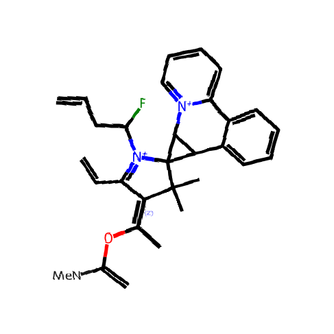 C=CCC(F)[N+]1=C(C=C)/C(=C(/C)OC(=C)NC)C(C)(C)C12C1c3ccccc3-c3cccc[n+]3C12